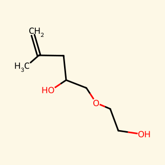 C=C(C)CC(O)COCCO